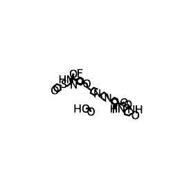 O=C1CCC(NC(=O)c2ccc(N3CCC(N4CCC(COc5cc(F)c6c(=O)[nH]c(CSC7CCOCC7)nc6c5)CC4)CC3)cc2F)C(=O)N1.O=CO